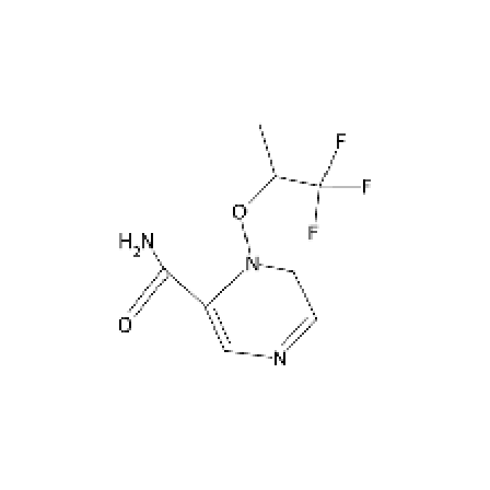 CC(ON1CC=NC=C1C(N)=O)C(F)(F)F